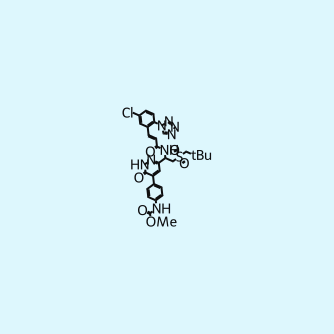 COC(=O)Nc1ccc(-c2cc(C(CS(=O)(=O)CC(C)(C)C)NC(=O)C=Cc3cc(Cl)ccc3-n3cnnn3)n[nH]c2=O)cc1